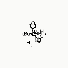 Cc1ccc(C)n1-c1cc(C(C)(C)C)[n+](C2CCOCC2)[nH]1